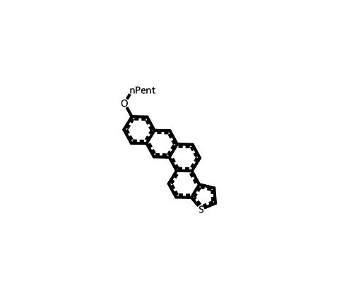 CCCCCOc1ccc2cc3c(ccc4c5ccsc5ccc34)cc2c1